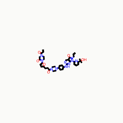 C=CCn1c(=O)c2cnc(Nc3ccc(N4CCN(C(=O)CCc5ccc(N6CCN(C(=O)C=C)CC6=O)o5)CC4)cc3)nc2n1-c1cccc(C(C)(C)O)n1